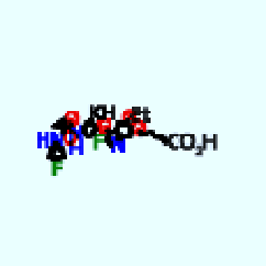 CCOc1cc2c(Oc3ccc(NC(=O)C4(C(=O)Nc5ccc(F)cc5)CC4)cc3F)ccnc2cc1OCCCCCC(=O)O.[KH]